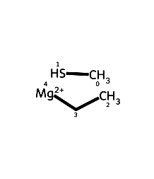 CS.C[CH2][Mg+2]